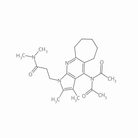 CC(=O)N(C(C)=O)c1c2c(nc3c1c(C)c(C)n3CCC(=O)N(C)C)CCCCC2